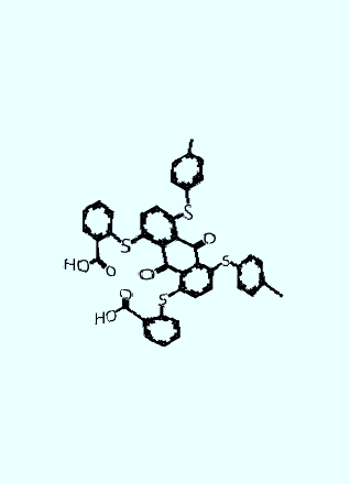 Cc1ccc(Sc2ccc(Sc3ccccc3C(=O)O)c3c2C(=O)c2c(Sc4ccc(C)cc4)ccc(Sc4ccccc4C(=O)O)c2C3=O)cc1